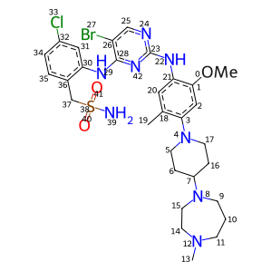 COc1cc(N2CCC(N3CCCN(C)CC3)CC2)c(C)cc1Nc1ncc(Br)c(Nc2cc(Cl)ccc2CS(N)(=O)=O)n1